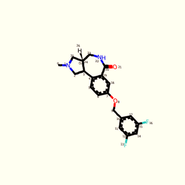 CN1CC2c3ccc(OCc4cc(F)cc(F)c4)cc3C(=O)NC[C@H]2C1